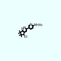 CC[C@H]1c2cc(-c3ccc(NC(C)=O)nc3)nnc2C(C)(C)C1(C)C